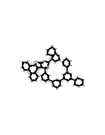 c1ccc(-c2cc(-c3ccccc3)cc(-c3cccc(-c4cccc(-c5nc(-c6cccc7ccccc67)nc6sc7c8ccccc8c8ccccc8c7c56)c4)c3)c2)cc1